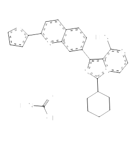 NC(=O)O.Nc1nccn2c(C3CCCCC3)nc(-c3ccc4ccc(-c5cccs5)nc4c3)c12